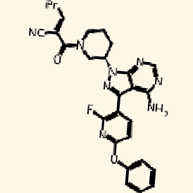 CC(C)C=C(C#N)C(=O)N1CCC[C@@H](n2nc(-c3ccc(Oc4ccccc4)nc3F)c3c(N)ncnc32)C1